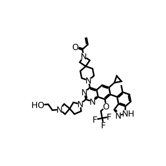 C=CC(=O)N1CC2(CCN(c3nc(N4CCC5(CN(CCO)C5)C4)nc4c(OCC(F)(F)F)c(-c5c(C)ccc6[nH]ncc56)c(C5CC5)cc34)CC2)C1